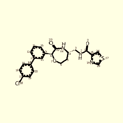 O=C(NC[C@@H]1CCO[C@@H](c2cccc(-c3ccc(Cl)cc3)c2)C(=O)N1)c1cscn1